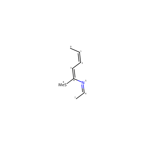 C\C=C/C=C(\N=C/C)SC